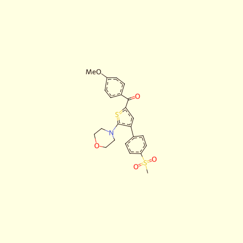 COc1ccc(C(=O)c2cc(-c3ccc(S(C)(=O)=O)cc3)c(N3CCOCC3)s2)cc1